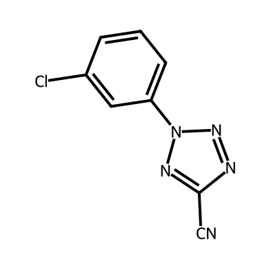 N#Cc1nnn(-c2cccc(Cl)c2)n1